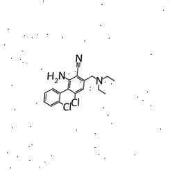 CCN(CC)Cc1cc(Cl)c(-c2ccccc2Cl)c(N)c1C#N